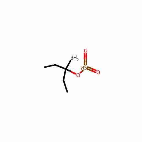 BC(CC)(CC)O[SH](=O)=O